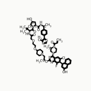 C=CC(=O)N1CCN(c2nc(O[C@H](C)CN3CCC(OCCOCC(=O)N[C@H](C(=O)N4C[C@H](O)C[C@H]4C(=O)N[C@@H](C)c4ccc(-c5scnc5C)cc4)C(C)(C)C)CC3)nc3c(F)c(-c4cc(O)cc5ccccc45)c(Cl)cc23)C[C@H]1C